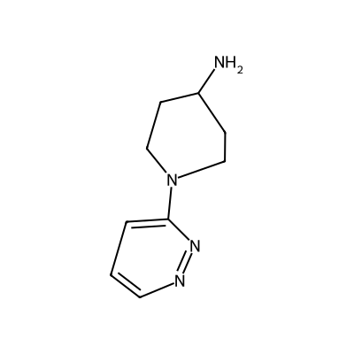 NC1CCN(c2cccnn2)CC1